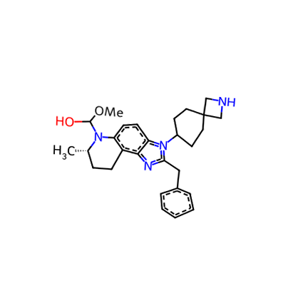 COC(O)N1c2ccc3c(nc(Cc4ccccc4)n3C3CCC4(CC3)CNC4)c2CC[C@@H]1C